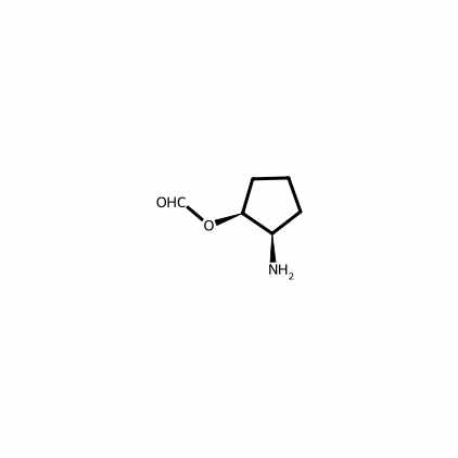 N[C@@H]1CCC[C@@H]1OC=O